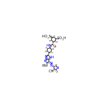 [C-]#[N+]c1c(C)nsc1N=Nc1c(C(C)(C)C)nn2nc(-c3ccc(NC(=O)c4cc(S(=O)(=O)O)cc(S(=O)(=O)O)c4)cc3)[nH]c12